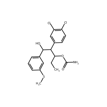 CCC(OC(N)=O)C(c1ccc(Cl)c(Cl)c1)C(O)c1cccc(SC)c1